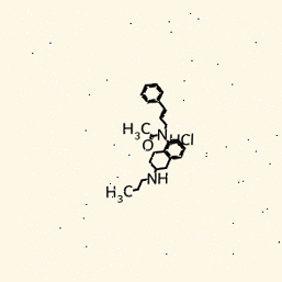 CCCNC1CCc2c(cccc2N(CC=Cc2ccccc2)C(C)=O)C1.Cl